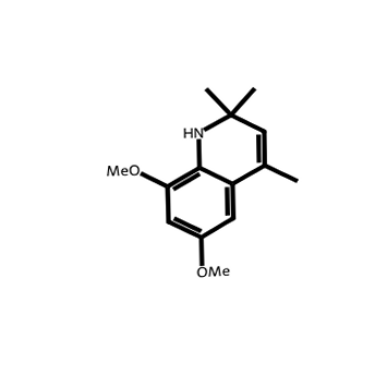 COc1cc(OC)c2c(c1)C(C)=CC(C)(C)N2